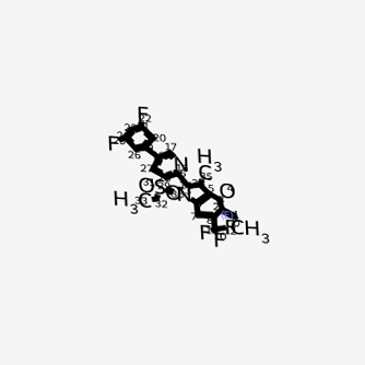 C/C=C1/C(=O)C2=C(C=C1C(F)(F)F)N=C(c1ncc(-c3cc(F)cc(F)c3)cc1S(=O)(=O)CC)C2C